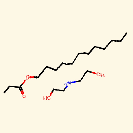 CCCCCCCCCCCCOC(=O)CC.OCCNCCO